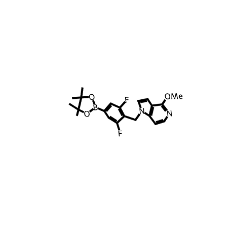 COc1nccc2c1ccn2Cc1c(F)cc(B2OC(C)(C)C(C)(C)O2)cc1F